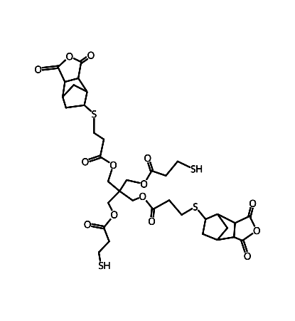 O=C(CCS)OCC(COC(=O)CCS)(COC(=O)CCSC1CC2CC1C1C(=O)OC(=O)C21)COC(=O)CCSC1CC2CC1C1C(=O)OC(=O)C21